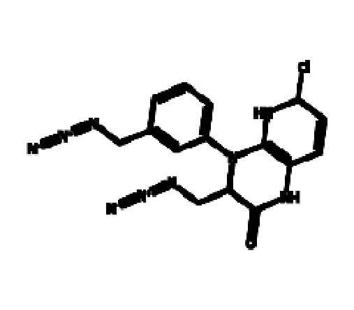 [N-]=[N+]=NCc1cccc(N2C3=C(C=CC(Cl)N3)NC(=O)C2CN=[N+]=[N-])c1